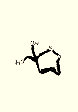 OC1(O)C=CSS1